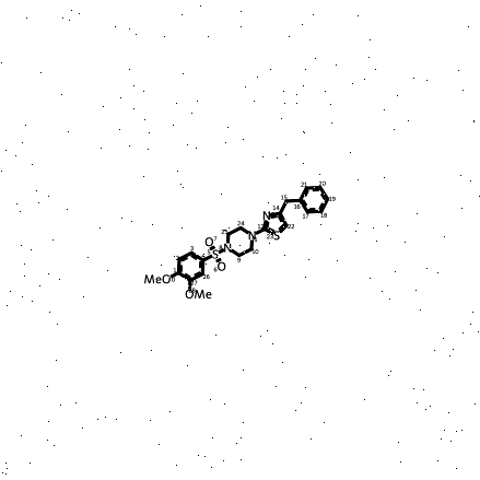 COc1ccc(S(=O)(=O)N2CCN(c3nc(Cc4ccccc4)cs3)CC2)cc1OC